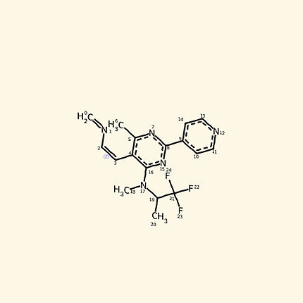 C=N/C=C\c1c(C)nc(-c2ccncc2)nc1N(C)C(C)C(F)(F)F